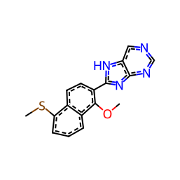 COc1c(-c2nc3ncncc3[nH]2)ccc2c(SC)cccc12